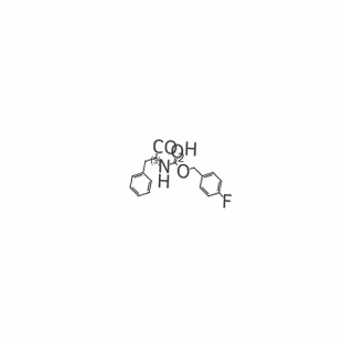 O=C(N[C@@H](Cc1ccccc1)C(=O)O)OCc1ccc(F)cc1